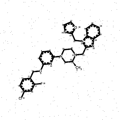 C[C@H]1CN(c2cccc(OCc3ccc(Cl)cc3F)n2)CCN1Cc1nc2ccccc2n1Cc1ncco1